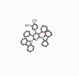 N#Cc1ccc(-c2c(-c3ccccc3)c(-n3c4ccccc4c4ccccc43)nc(-n3c4ccccc4c4ccccc43)c2-c2ccccc2)cc1C#N